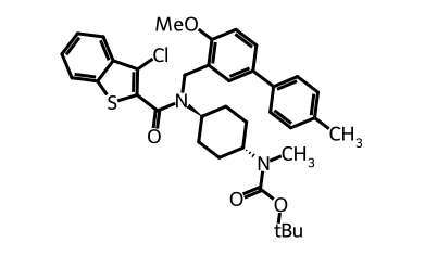 COc1ccc(-c2ccc(C)cc2)cc1CN(C(=O)c1sc2ccccc2c1Cl)[C@H]1CC[C@H](N(C)C(=O)OC(C)(C)C)CC1